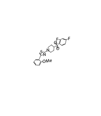 COc1ccccc1-c1csc(N2CCC(S(=O)(=O)c3ccc(F)cc3F)CC2)n1